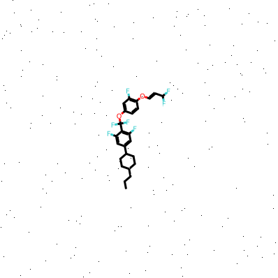 CCCC1CCC(c2cc(F)c(C(F)(F)Oc3ccc(O/C=C/C(F)F)c(F)c3)c(F)c2)CC1